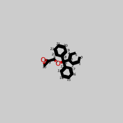 C/C=C\C(=C/C)C(OCC1CO1)(c1ccccc1)c1ccccc1